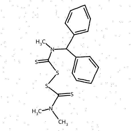 CN(C)C(=S)SSC(=S)N(C)C(c1ccccc1)c1ccccc1